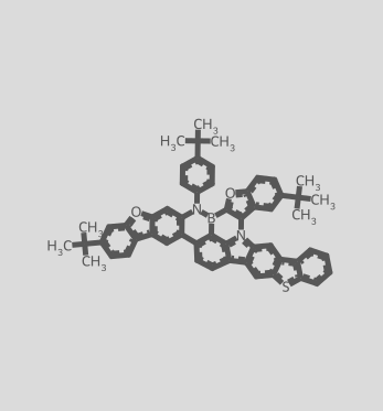 CC(C)(C)c1ccc(N2B3c4oc5ccc(C(C)(C)C)cc5c4-n4c5cc6c(cc5c5ccc(c3c54)-c3cc4c(cc32)oc2cc(C(C)(C)C)ccc24)sc2ccccc26)cc1